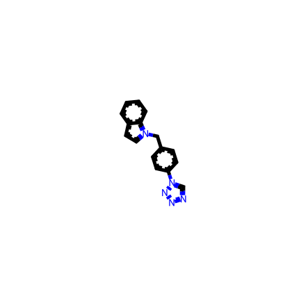 c1ccc2c(c1)ccn2Cc1ccc(-n2cnnn2)cc1